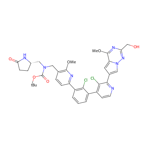 COc1nc(-c2cccc(-c3ccnc(-c4cc5c(OC)nc(CO)nn5c4)c3Cl)c2Cl)ccc1CN(C[C@@H]1CCC(=O)N1)C(=O)OC(C)(C)C